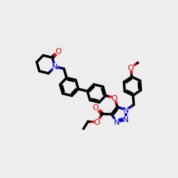 CCOC(=O)c1nnn(Cc2ccc(OC)cc2)c1Oc1ccc(-c2cccc(CN3CCCCC3=O)c2)cc1